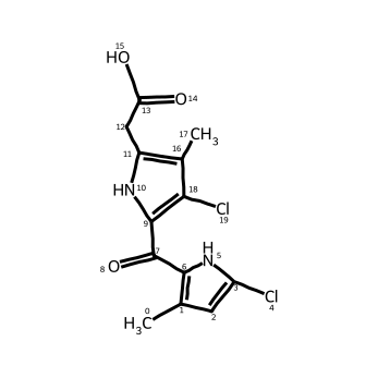 Cc1cc(Cl)[nH]c1C(=O)c1[nH]c(CC(=O)O)c(C)c1Cl